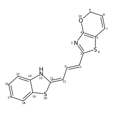 C(=Cc1nc2c(s1)C=CCO2)C=C1Nc2ccccc2S1